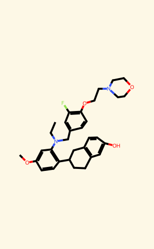 CCN(Cc1ccc(OCCN2CCOCC2)c(F)c1)c1cc(OC)ccc1C1CCc2cc(O)ccc2C1